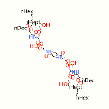 CCCCCC/C=C/CCCC(=O)OC(CCCCCCCCCCC)CC(=O)NC(COCC[C@H](O)CCCCCCC)COP(=O)(O)OCCNC(=O)c1ccc(C(=O)NCCOP(=O)(O)OCC(COCC[C@H](O)CCCCCCC)NC(=O)CC(CCCCCCCCCCC)OC(=O)CCC/C=C/CCCCCC)cc1